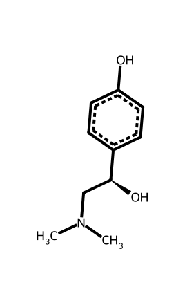 CN(C)C[C@H](O)c1ccc(O)cc1